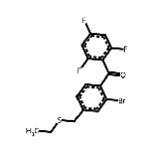 CCSCc1ccc(C(=O)c2c(F)cc(F)cc2F)c(Br)c1